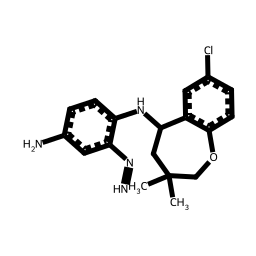 CC1(C)COc2ccc(Cl)cc2C(Nc2ccc(N)cc2N=N)C1